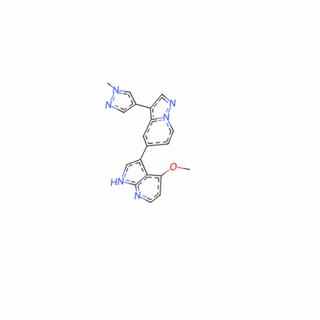 COc1ccnc2[nH]cc(-c3ccn4ncc(-c5cnn(C)c5)c4c3)c12